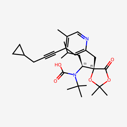 Cc1cnc(C[C@]2([C@H](CC(C)C)N(C(=O)O)C(C)(C)C)OC(C)(C)OC2=O)cc1C#CCC1CC1